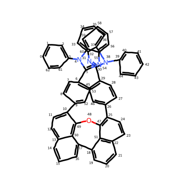 c1ccc(-n2c(-c3ccc(-c4ccc5cccc6c7cccc8ccc(-c9ccc(-c%10nc%11ccccc%11n%10-c%10ccccc%10)cc9)c(oc4c56)c87)cc3)nc3ccccc32)cc1